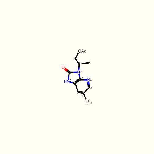 CC(=O)OC[C@@H](C)n1c(=O)[nH]c2cc(C(F)(F)F)cnc21